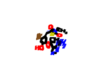 CC(Oc1cc(/C=C2\SC(=O)N(C)C2=O)c(Br)cc1O)c1cncnc1N